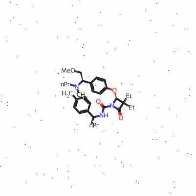 CCCC(NC(=O)N1C(=O)C(CC)(CC)[C@@H]1Oc1ccc([C@H](COC)N(C)CCC)cc1)c1ccc(C)cc1